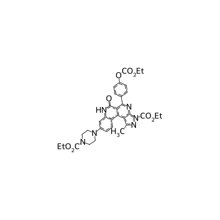 CCOC(=O)Oc1ccc(-c2nc3c(c(C)nn3C(=O)OCC)c3c2c(=O)[nH]c2cc(N4CCN(C(=O)OCC)CC4)ccc23)cc1